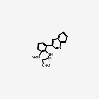 CNc1cccc(-c2cnc3ccccc3c2)c1N[C@H](C)CC=O